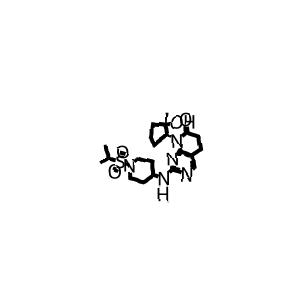 CC(C)S(=O)(=O)N1CCC(Nc2ncc3c(n2)N([C@H]2CCC[C@]2(C)O)C(=O)CC3)CC1